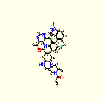 C=CC(=O)N1CC2CNC3Cc4c(c5cc(F)c(-c6c(C)ccc7[nH]ncc67)c(Cl)c5n(-c5c(C(C)C)ncnc5C(C)C)c4=O)CC3N2CC1C